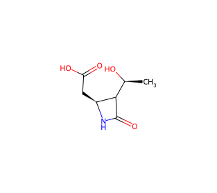 C[C@H](O)C1C(=O)N[C@H]1CC(=O)O